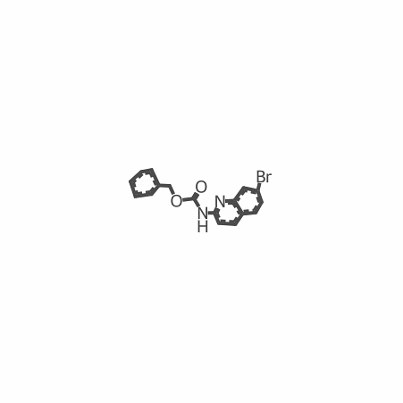 O=C(Nc1ccc2ccc(Br)cc2n1)OCc1ccccc1